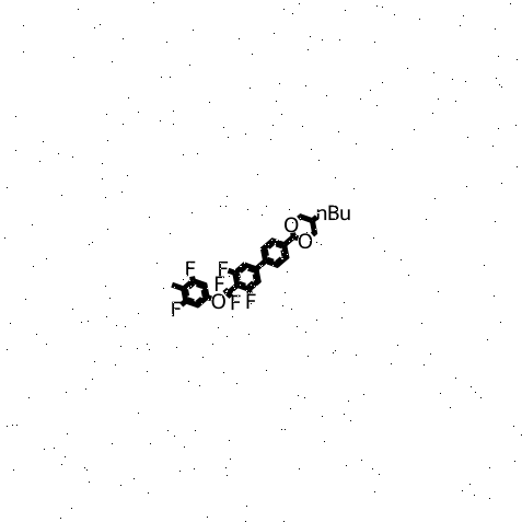 CCCCC1COC(c2ccc(-c3cc(F)c(C(F)(F)Oc4cc(F)c(C)c(F)c4)c(F)c3)cc2)OC1